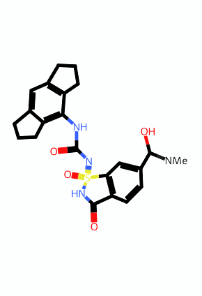 CNC(O)c1ccc2c(c1)S(=O)(=NC(=O)Nc1c3c(cc4c1CCC4)CCC3)NC2=O